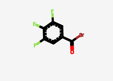 O=C(Br)c1cc(F)c(F)c(F)c1